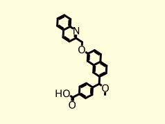 COC(c1ccc(C(=O)O)cc1)c1ccc2ccc(OCc3ccc4ccccc4n3)cc2c1